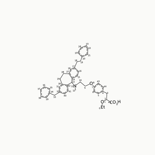 CCOC(Cc1ccc(OCCN(C)C2c3ccc(CCc4ccccc4)cc3CCc3cc(Cc4ccccc4)ccc32)cc1)C(=O)O